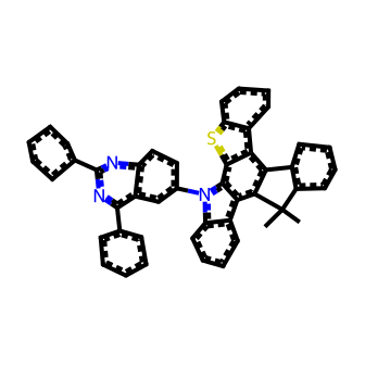 CC1(C)c2ccccc2-c2c1c1c3ccccc3n(-c3ccc4nc(-c5ccccc5)nc(-c5ccccc5)c4c3)c1c1sc3ccccc3c21